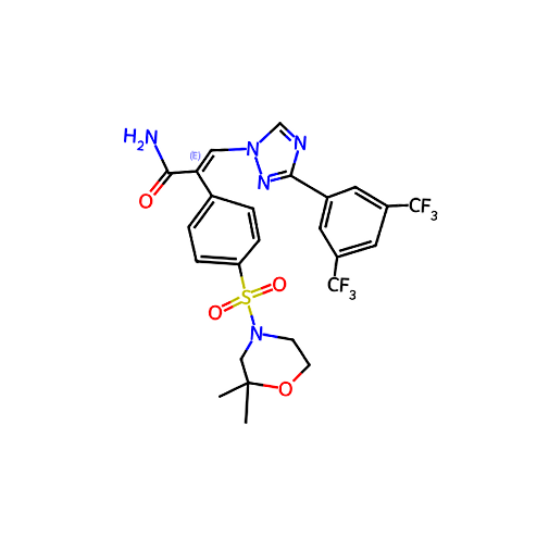 CC1(C)CN(S(=O)(=O)c2ccc(/C(=C\n3cnc(-c4cc(C(F)(F)F)cc(C(F)(F)F)c4)n3)C(N)=O)cc2)CCO1